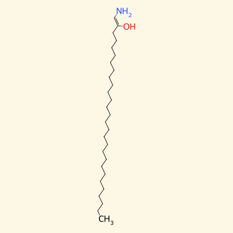 CCCCCCCCCCCCCCCCCCCCCCCCCC/C(O)=C/N